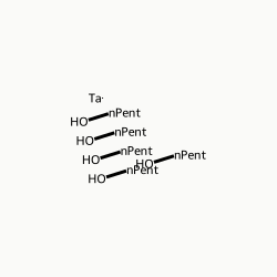 CCCCCO.CCCCCO.CCCCCO.CCCCCO.CCCCCO.[Ta]